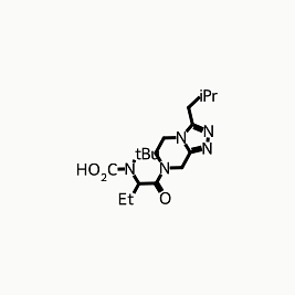 CCC(C(=O)N1CCn2c(CC(C)C)nnc2C1)N(C(=O)O)C(C)(C)C